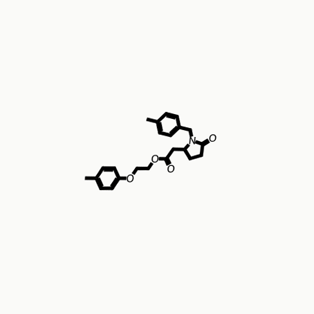 Cc1ccc(CN2C(=O)CCC2CC(=O)OCCOc2ccc(C)cc2)cc1